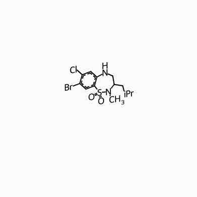 CC(C)CC1CNc2cc(Cl)c(Br)cc2S(=O)(=O)N1C